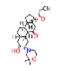 CC1(C)CN([C@H]2C[C@@]3(C)[C@@H](CC[C@H]4[C@@H]5CC[C@H](C(=O)CC#N)[C@@]5(C)CC(=O)[C@@H]43)C[C@@H]2O)CCO1